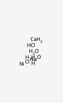 Cl.Cl.O.O.[CaH2].[NaH].[Ni]